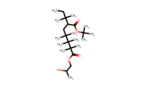 CCC(C)(C)C(CC(C)(C)C(C)(C)C(C)(C)C(=O)OCC(C)O)C(=O)OC(C)(C)C